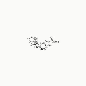 COC(=O)c1cc2cc(NC3CC4CC[C@@H](C3)N4C)ncc2s1